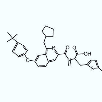 CC(C)(C)c1ccc(Oc2ccc3cc(C(=O)NC(Cc4ccc(Br)s4)C(=O)O)nc(CC4CCCC4)c3c2)cc1